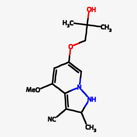 COC1=CC(OCC(C)(C)O)=CN2NC(C)C(C#N)=C12